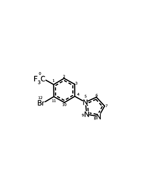 FC(F)(F)c1ccc(-n2ccnn2)cc1Br